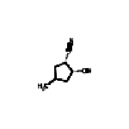 CC1C[C@@H](O)[C@@H](C#N)C1